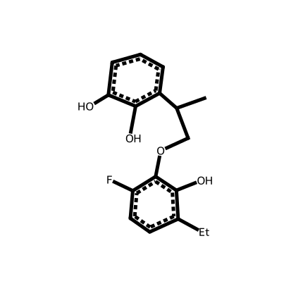 CCc1ccc(F)c(OCC(C)c2cccc(O)c2O)c1O